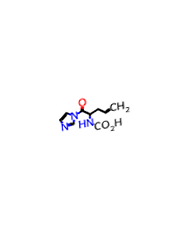 C=CCC(NC(=O)O)C(=O)n1ccnc1